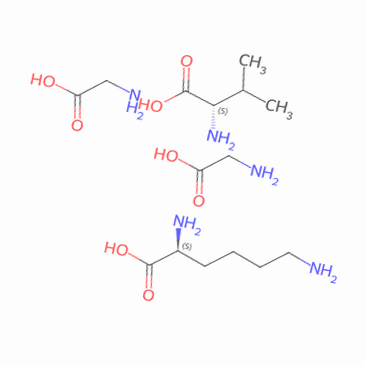 CC(C)[C@H](N)C(=O)O.NCC(=O)O.NCC(=O)O.NCCCC[C@H](N)C(=O)O